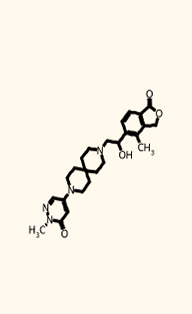 Cc1c(C(O)CN2CCC3(CC2)CCN(c2cnn(C)c(=O)c2)CC3)ccc2c1COC2=O